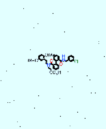 COc1ccc(OC)c(CCN(CCC(=O)O)C(=O)c2ccccc2-c2ccccc2C(=O)NCc2cccc(Cl)c2)c1